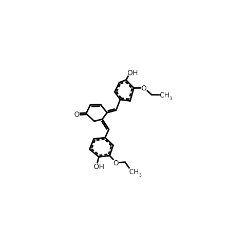 CCOc1cc(C=C2C=CC(=O)CC2=Cc2ccc(O)c(OCC)c2)ccc1O